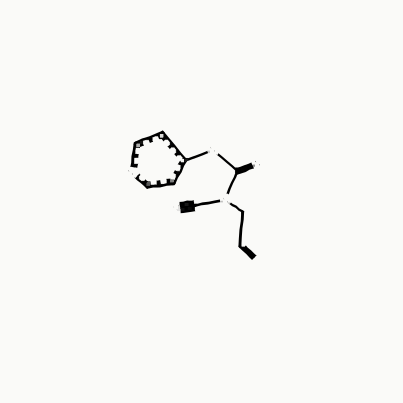 C=CCN(C#N)C(=N)Nc1ccncc1